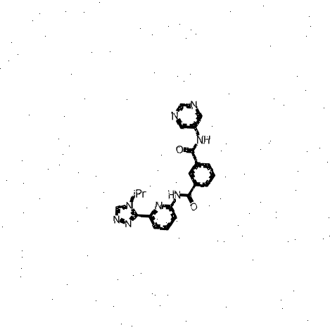 CC(C)n1cnnc1-c1cccc(NC(=O)c2cccc(C(=O)Nc3cncnc3)c2)n1